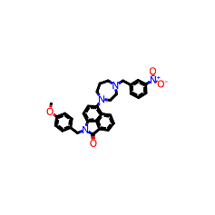 COc1ccc(CN2C(=O)c3cccc4c(N5CCCN(Cc6cccc([N+](=O)[O-])c6)CC5)ccc2c34)cc1